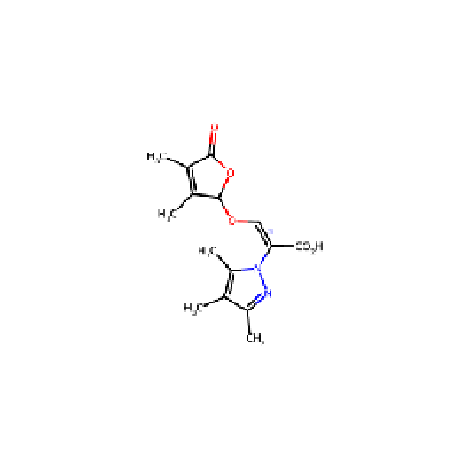 CC1=C(C)C(O/C=C(/C(=O)O)n2nc(C)c(C)c2C)OC1=O